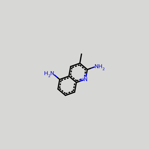 Cc1cc2c(N)cccc2nc1N